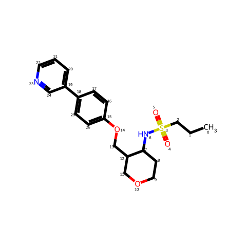 CCCS(=O)(=O)NC1CCOCC1COc1ccc(-c2cccnc2)cc1